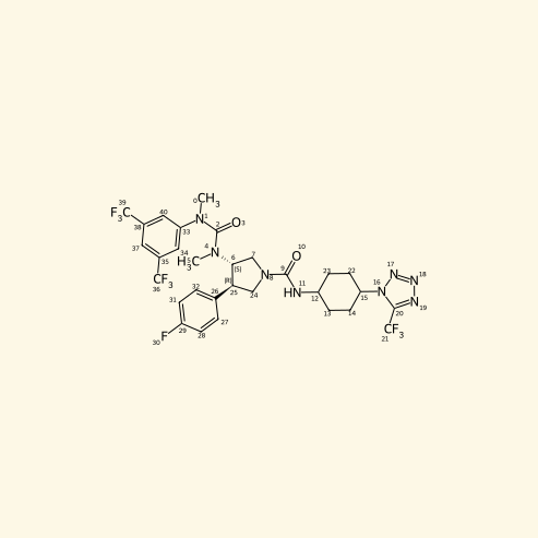 CN(C(=O)N(C)[C@@H]1CN(C(=O)NC2CCC(n3nnnc3C(F)(F)F)CC2)C[C@H]1c1ccc(F)cc1)c1cc(C(F)(F)F)cc(C(F)(F)F)c1